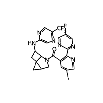 Cc1cnc(-c2ncc(F)cn2)c(C(=O)N2CC3CC34CC(Nc3cnc(C(F)(F)F)cn3)C24)c1